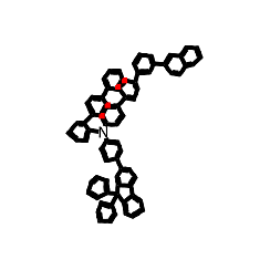 c1ccc(-c2ccc(-c3ccccc3N(c3ccc(-c4ccc(-c5cccc(-c6ccc7ccccc7c6)c5)cc4)cc3)c3ccc(-c4ccc5c(c4)C(c4ccccc4)(c4ccccc4)c4ccccc4-5)cc3)cc2)cc1